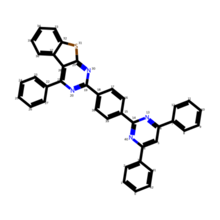 c1ccc(-c2cc(-c3ccccc3)nc(-c3ccc(-c4nc(-c5ccccc5)c5c(n4)sc4ccccc45)cc3)n2)cc1